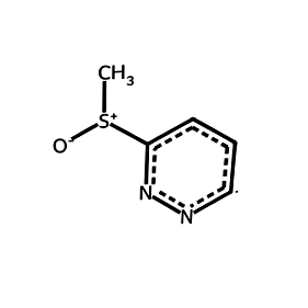 C[S+]([O-])c1cc[c]nn1